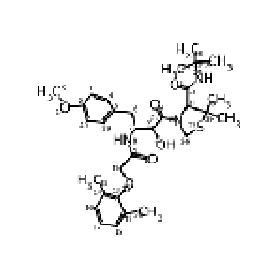 COc1ccc(C[C@H](NC(=O)COc2c(C)cccc2C)[C@H](O)C(=O)N2CSC(C)(C)C2C(=O)NC(C)(C)C)cc1